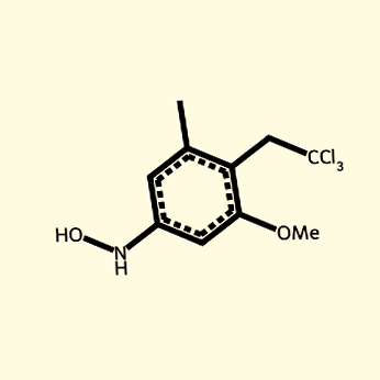 COc1cc(NO)cc(C)c1CC(Cl)(Cl)Cl